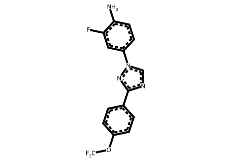 Nc1ccc(-n2cnc(-c3ccc(OC(F)(F)F)cc3)n2)cc1F